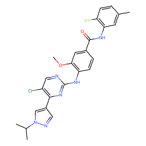 COc1cc(C(=O)Nc2cc(C)ccc2F)ccc1Nc1ncc(Cl)c(-c2cnn(C(C)C)c2)n1